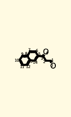 O=CCC(=O)c1ccc2ccccc2c1